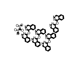 O=C([SH](=O)=O)[SH](=O)=O.c1ccc2c(Oc3nncc4ccccc34)nncc2c1.c1ccc2c(Oc3nncc4ccccc34)nncc2c1.c1ccc2c(Oc3nncc4ccccc34)nncc2c1.c1ccc2c(Oc3nncc4ccccc34)nncc2c1